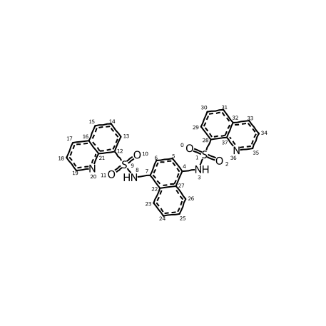 O=S(=O)(Nc1ccc(NS(=O)(=O)c2cccc3cccnc23)c2ccccc12)c1cccc2cccnc12